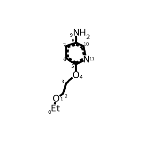 CCOCCOc1ccc(N)cn1